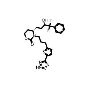 O=C1OCC[C@H](CC[C@@H](O)C(F)(F)c2ccccc2)N1CCCc1ccc(-c2nn[nH]n2)s1